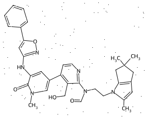 Cc1cc2c(n1CCN(C=O)c1nccc(-c3cc(Nc4cc(-c5ccccc5)on4)c(=O)n(C)c3)c1CO)CC(C)(C)C2